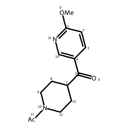 COc1ccc(C(=O)C2CCN(C(C)=O)CC2)cn1